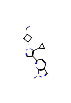 Cn1ncc2ccc(-c3cnn([C@H]4C[C@H](CN)C4)c3C3CC3)nc21